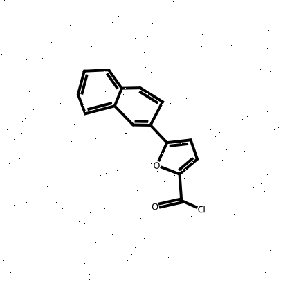 O=C(Cl)c1ccc(-c2ccc3ccccc3c2)o1